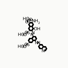 Nc1cc2c(O)c(N=Nc3ccc(N=Nc4ccc5ncccc5c4)c4cc(SOOO)ccc34)c(SOOO)cc2cc1S(=O)(=O)O